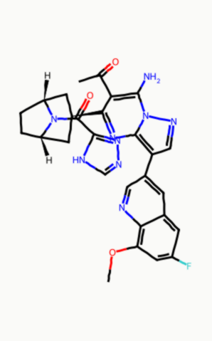 COc1cc(F)cc2cc(-c3cnn4c(N)c(C(C)=O)c([C@@H]5C[C@H]6CC[C@@H](C5)N6C(=O)c5nnc[nH]5)nc34)cnc12